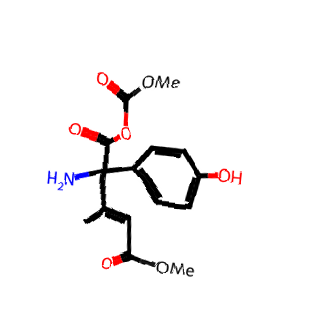 COC(=O)C=C(C)C(N)(C(=O)OC(=O)OC)c1ccc(O)cc1